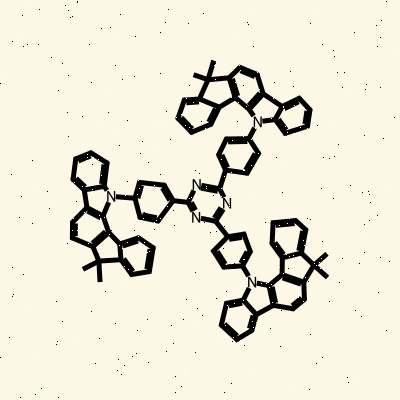 CC1(C)c2ccccc2-c2c1ccc1c3ccccc3n(-c3ccc(-c4nc(-c5ccc(-n6c7ccccc7c7ccc8c(c76)-c6ccccc6C8(C)C)cc5)nc(-c5ccc(-n6c7ccccc7c7ccc8c(c76)-c6ccccc6C8(C)C)cc5)n4)cc3)c21